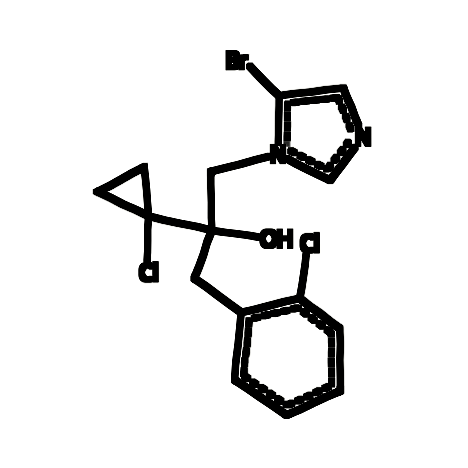 OC(Cc1ccccc1Cl)(Cn1cncc1Br)C1(Cl)CC1